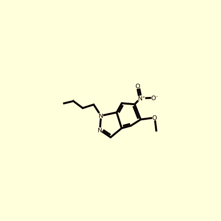 C[CH]CCn1ncc2cc(OC)c([N+](=O)[O-])cc21